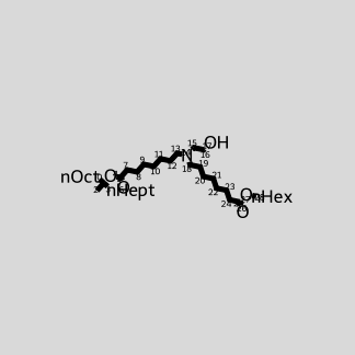 CCCCCCCCC(C)(CCCCCCC)OC(=O)CCCCCCCN(CCO)CCCCCCCC(=O)OCCCCCC